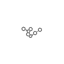 c1ccc(-c2ccc(-n3ccc4ccc5c(c6ccccc6n5-c5ccccc5)c43)cc2)cc1